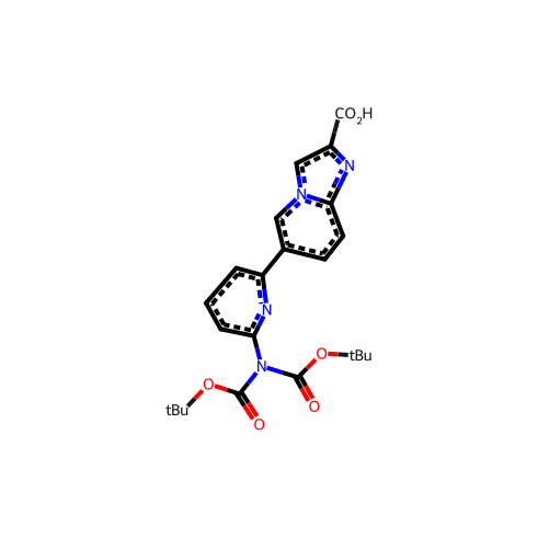 CC(C)(C)OC(=O)N(C(=O)OC(C)(C)C)c1cccc(-c2ccc3nc(C(=O)O)cn3c2)n1